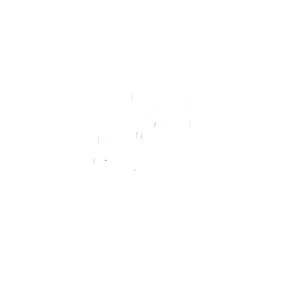 CC[C@H](CC[C@@H]1CCCC/C1=C\Br)[C@H](C)CN1CCC(O[Si](C)(C)C)(C(F)F)CC1